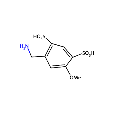 COc1cc(CN)c(S(=O)(=O)O)cc1S(=O)(=O)O